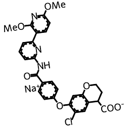 COc1ccc(-c2cccc(NC(=O)c3ccc(Oc4cc5c(cc4Cl)C(C(=O)[O-])CCO5)cc3)n2)c(OC)n1.[Na+]